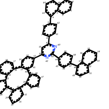 c1ccc2c(-c3ccc(-c4cc(-c5ccc6c7ccccc7c7ccccc7c7ccccc7c7ccccc7c6c5)nc(-c5ccc(-c6cccc7ccccc67)cc5)n4)cc3)cccc2c1